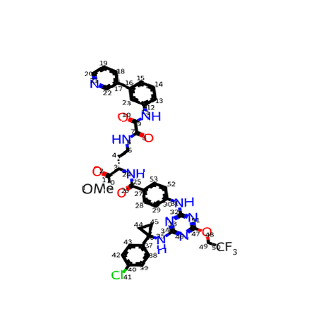 COC(=O)[C@H](CCNC(=O)C(=O)Nc1cccc(-c2cccnc2)c1)NC(=O)c1ccc(Nc2nc(NC3(c4ccc(Cl)cc4)CC3)nc(OCC(F)(F)F)n2)cc1